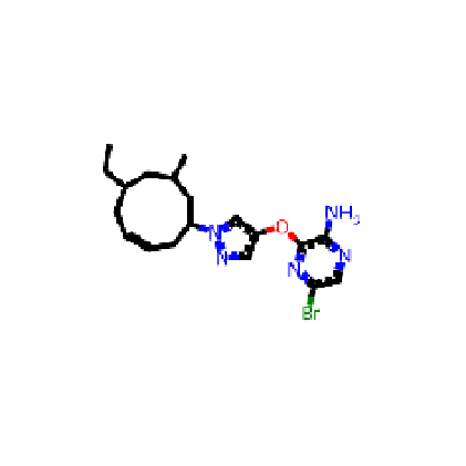 CCC1C/C=C\CC(n2cc(Oc3nc(Br)cnc3N)cn2)CC(C)C1